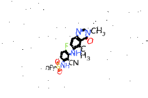 CCCS(=O)(=O)Nc1ccc(F)c(Nc2ccc3ncn(C)c(=O)c3c2C)c1C#N